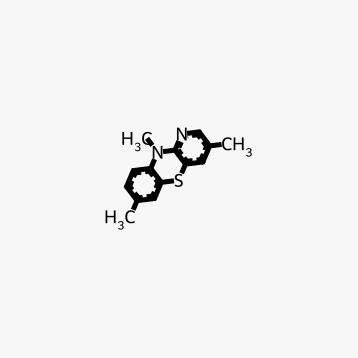 Cc1ccc2c(c1)Sc1cc(C)cnc1N2C